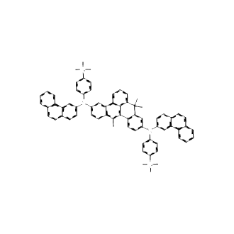 Cc1c2c3c(cccc3c3cc(N(c4ccc([Si](C)(C)C)cc4)c4ccc5ccc6ccccc6c5c4)ccc13)C(C)(C)c1cc(N(c3ccc([Si](C)(C)C)cc3)c3ccc4ccc5ccccc5c4c3)ccc1-2